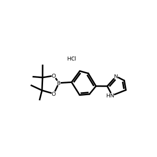 CC1(C)OB(c2ccc(-c3ncc[nH]3)cc2)OC1(C)C.Cl